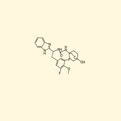 COc1c(F)cc(CC(NC(=O)NC23CCC(O)(CC2)CC3)c2nc3ccccc3[nH]2)cc1F